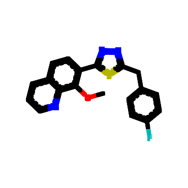 COc1c(-c2nnc(Cc3ccc(F)cc3)s2)ccc2cccnc12